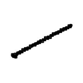 CCOCCOCCOCCOCCOCCOCCOCCOCCOCCOCCOCCOCCOCCOCCOS(C)(=O)=O